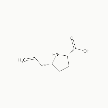 C=CC[C@H]1CC[C@@H](C(=O)O)N1